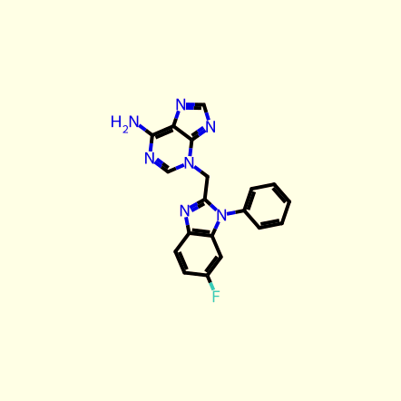 Nc1ncn(Cc2nc3ccc(F)cc3n2-c2ccccc2)c2ncnc1-2